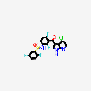 O=C(c1c(F)ccc(N[S+]([O-])c2cc(F)ccc2F)c1F)c1c[nH]c2nccc(Cl)c12